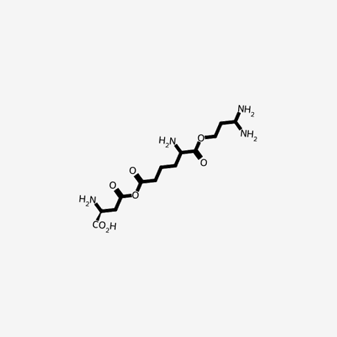 NC(N)CCOC(=O)C(N)CCCC(=O)OC(=O)C[C@H](N)C(=O)O